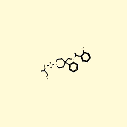 CCC(CO)NS(=O)(=O)N1CCC(CNC(=O)c2ccccc2OC)(c2ccccc2)CC1